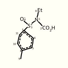 CCN(C(=O)O)[S+]([O-])c1ccc(C)cc1